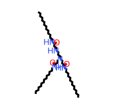 CCCCCCCCCCCCCCNC(=O)CCNCCCN(CCC(=O)NCCCCCCCCCCCCCC)CCC(=O)NCCCCCCCCCCCCCC